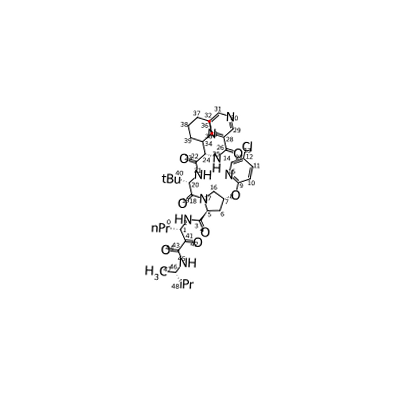 CCC[C@H](NC(=O)[C@@H]1C[C@@H](Oc2ccc(Cl)cn2)CN1C(=O)[C@@H](NC(=O)[C@@H](NC(=O)c1cnccn1)C1CCCCC1)C(C)(C)C)C(=O)C(=O)N[C@@H](C)C(C)C